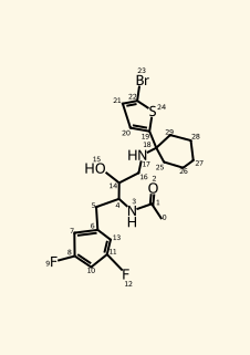 CC(=O)NC(Cc1cc(F)cc(F)c1)C(O)CNC1(c2ccc(Br)s2)CCCCC1